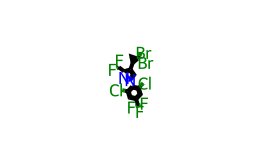 FC(F)c1nn(-c2c(Cl)cc(C(F)(F)F)cc2Cl)cc1C1CC1(Br)Br